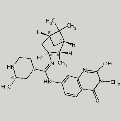 C[C@@H]1[C@@H](N=C(Nc2ccc3c(=O)n(C)c(O)nc3c2)N2CCN[C@@H](C)C2)C[C@H]2C[C@@H]1C2(C)C